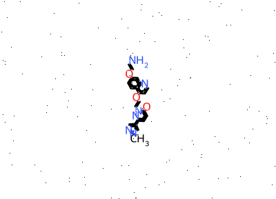 Cn1cc(-c2ccc(=O)n(CCOc3ccnc4cc(OCCN)ccc34)n2)cn1